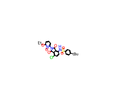 CCOc1cccc(N2C(=O)c3c(Cl)ccc(NS(=O)(=O)c4ccc(C(C)(C)C)cc4)c3C2=O)[n+]1[O-]